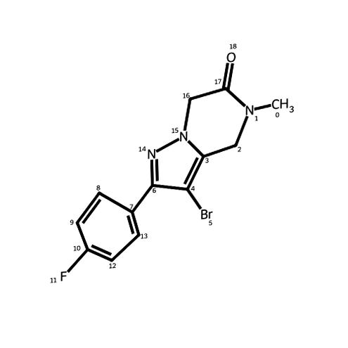 CN1Cc2c(Br)c(-c3ccc(F)cc3)nn2CC1=O